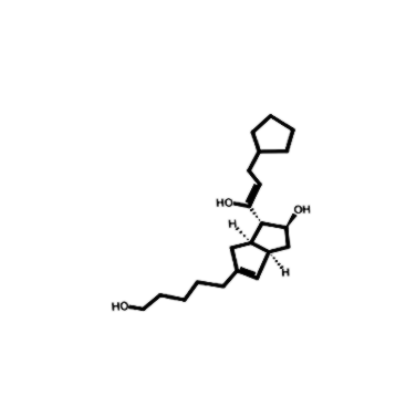 OCCCCCC1=C[C@@H]2C[C@H](O)[C@@H](C(O)=CCC3CCCC3)[C@@H]2C1